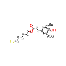 CC(C)(C)c1cc(CCC(=O)OCCCCCCS)cc(C(C)(C)C)c1O